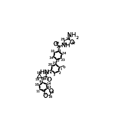 Cc1ccc(NC(=O)C2(c3ccc4c(c3)OCO4)CC2)cc1-c1ccc(C(=O)NCC(N)=O)cc1